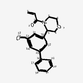 C=CC(=O)N1CCOCC1c1cc(Cl)cc(-c2ccccc2)c1